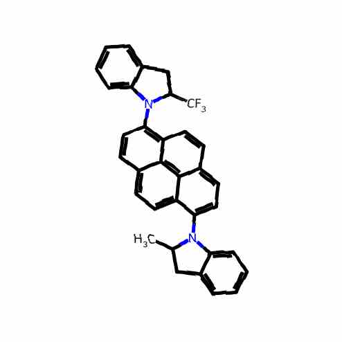 CC1Cc2ccccc2N1c1ccc2ccc3c(N4c5ccccc5CC4C(F)(F)F)ccc4ccc1c2c43